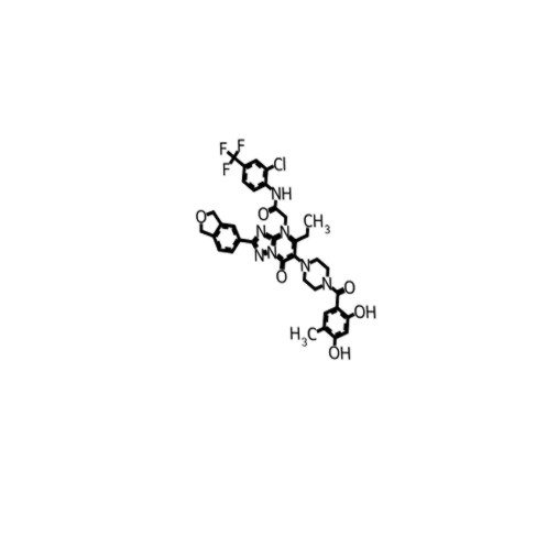 CCc1c(N2CCN(C(=O)c3cc(C)c(O)cc3O)CC2)c(=O)n2nc(-c3ccc4c(c3)COC4)nc2n1CC(=O)Nc1ccc(C(F)(F)F)cc1Cl